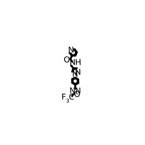 O=C(NCc1cnn(-c2ccc(-c3noc(C(F)(F)F)n3)cc2)c1)c1cccnc1